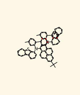 Cc1ccc(-c2ccccc2)c(N(c2cc(N(c3cc(C)ccc3-c3ccccc3)c3cccc4c3sc3ccccc34)c3ccc4cc(C(C)(C)C)cc5ccc2c3c54)c2cccc3c2sc2ccccc23)c1